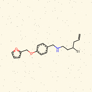 C=CCC(CC)CCNCc1ccc(OCc2ccco2)cc1